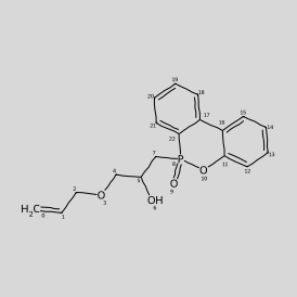 C=CCOCC(O)CP1(=O)Oc2ccccc2-c2ccccc21